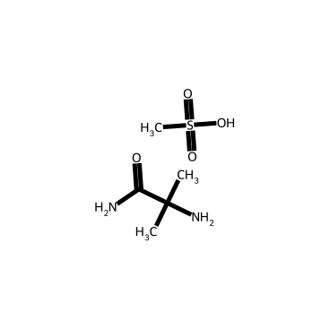 CC(C)(N)C(N)=O.CS(=O)(=O)O